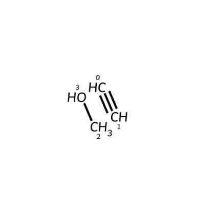 C#C.CO